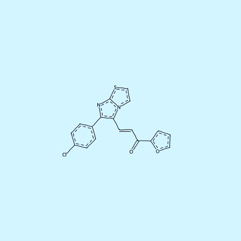 O=C(/C=C/c1c(-c2ccc(Cl)cc2)nc2sccn12)c1ccco1